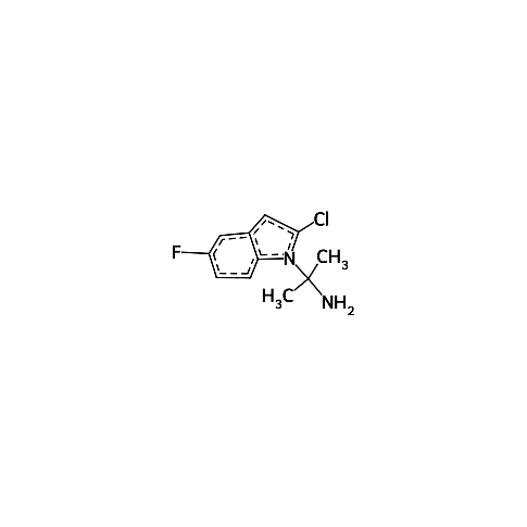 CC(C)(N)n1c(Cl)cc2cc(F)ccc21